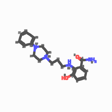 NC(=O)c1cccc(O)c1NCCCN1CCN(c2ccccc2)CC1